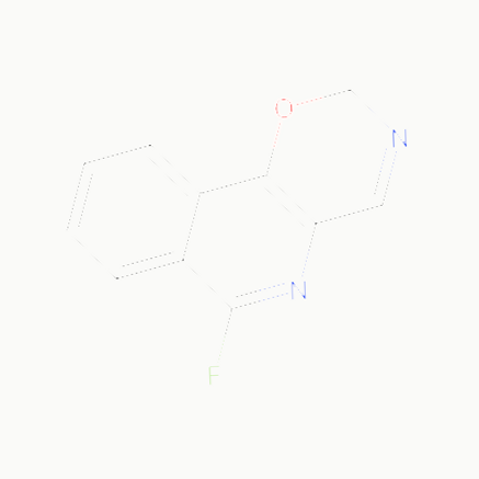 Fc1nc2c(c3ccccc13)OCN=C2